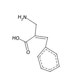 NC/C(=C/c1ccccc1)C(=O)O